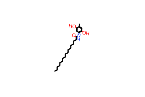 CCCCCCCCCCCCCCCCC(=O)Nc1cc(O)c(C)cc1O